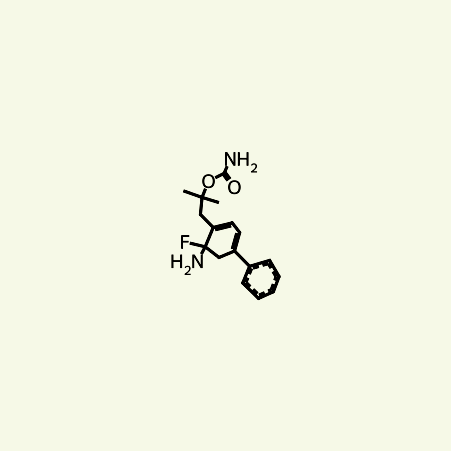 CC(C)(CC1=CC=C(c2ccccc2)CC1(N)F)OC(N)=O